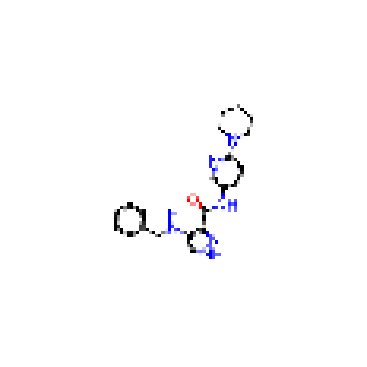 O=C(Nc1ccc(N2CCCCC2)nc1)c1n[nH]cc1NCc1ccccc1